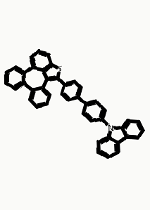 c1ccc2c(c1)-c1ccccc1-c1c(-c3ccc(-c4ccc(-n5c6ccccc6c6ccccc65)cc4)cc3)sc3cccc-2c13